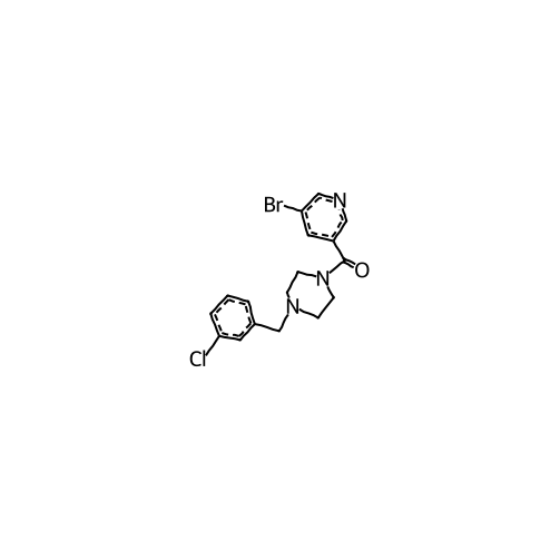 O=C(c1cncc(Br)c1)N1CCN(Cc2cccc(Cl)c2)CC1